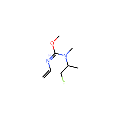 C=C/N=C(/OC)N(C)C(C)CF